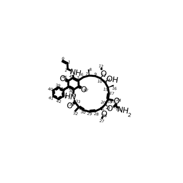 C=CCNC1=C2C[C@@H](C)C[C@H](OC)[C@H](O)[C@@H](C)C=C(C)[C@H](OC(N)=O)[C@@H](OC)C=CC=C(C)C(=O)NC(=C(c3ccccc3)C1=O)C2=O